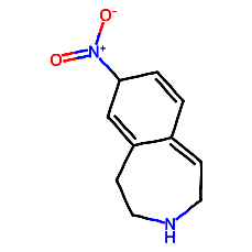 O=[N+]([O-])C1C=CC2=CCNCCC2=C1